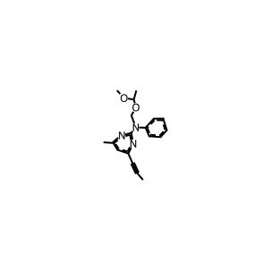 CC#Cc1cc(C)nc(N(COC(C)OC)c2ccccc2)n1